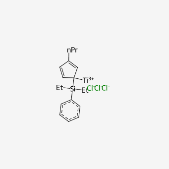 CCCC1=C[C]([Ti+3])([Si](CC)(CC)c2ccccc2)C=C1.[Cl-].[Cl-].[Cl-]